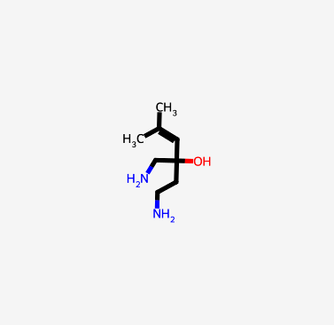 CC(C)=CC(O)(CN)CCN